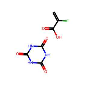 C=C(F)C(=O)O.O=c1[nH]c(=O)[nH]c(=O)[nH]1